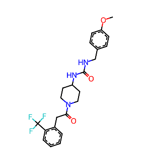 COc1ccc(CNC(=O)NC2CCN(C(=O)Cc3ccccc3C(F)(F)F)CC2)cc1